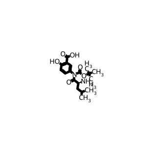 CC(C)C[C@H](N)C(=O)N(C(=O)OC(C)(C)C)c1ccc(O)c(C(=O)O)c1